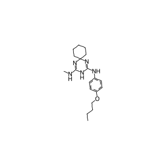 CCCCOc1ccc(NC2=NC3(CCCCC3)N=C(NC)N2)cc1